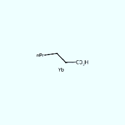 CCCCCC(=O)O.[Yb]